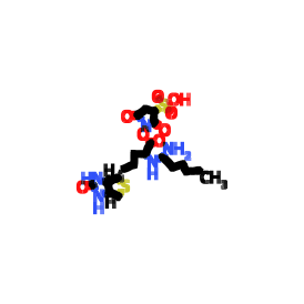 CCCCCC(N)NC(CCC[C@@H]1SC[C@@H]2NC(=O)N[C@@H]21)C(=O)ON1C(=O)CC(S(=O)(=O)O)C1=O